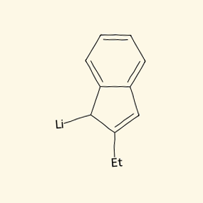 [Li][CH]1C(CC)=Cc2ccccc21